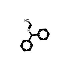 N#CC=NC(c1ccccc1)c1ccccc1